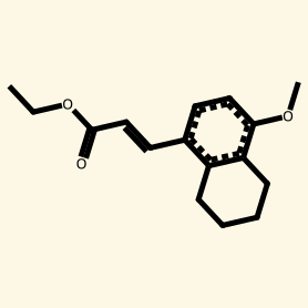 CCOC(=O)/C=C/c1ccc(OC)c2c1CCCC2